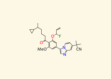 C=CC(F)Oc1cc(-c2cnc3cc(C(C)(C)C#N)ccn23)cc(OC)c1C(=O)CCCC(C)C1CC1